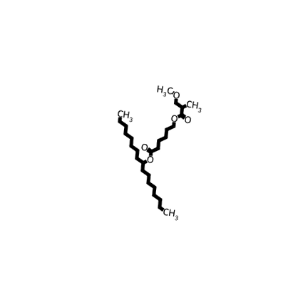 CCCCCCCCC(CCCCCCCC)OC(=O)CCCCCOC(=O)C(C)COC